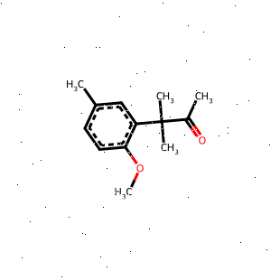 COc1ccc(C)cc1C(C)(C)C(C)=O